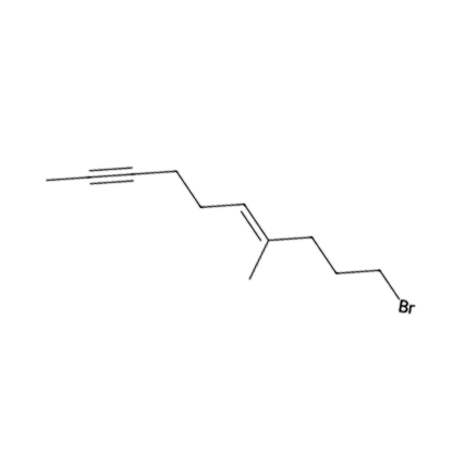 CC#CCC/C=C(\C)CCCBr